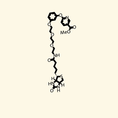 COC(=O)c1ccc(Oc2cccc(OCCOCCOCCNC(=O)CCCC[C@@H]3SC[C@@H]4NC(=O)N[C@@H]43)c2)nc1